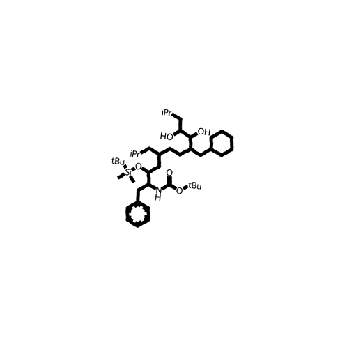 CC(C)CC(CCC(CC1CCCCC1)C(O)C(O)CC(C)C)CC(O[Si](C)(C)C(C)(C)C)C(Cc1ccccc1)NC(=O)OC(C)(C)C